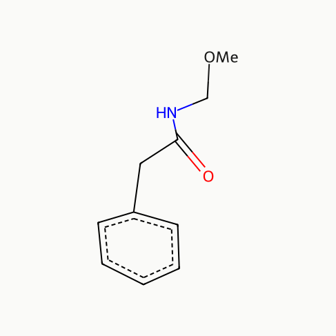 COCNC(=O)Cc1ccccc1